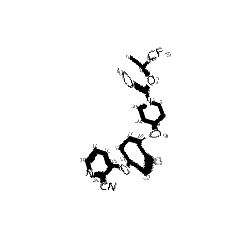 C[C@H](OC(=O)N1CCC(O[C@H]2CC[C@H](Oc3cccnc3C#N)CC2)CC1)C(F)(F)F